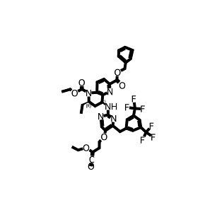 CCOC(=O)N1c2ccc(C(=O)OCc3ccccc3)nc2[C@@H](Nc2ncc(OCCC(=C=O)OCC)c(Cc3cc(C(F)(F)F)cc(C(F)(F)F)c3)n2)C[C@H]1CC